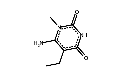 CCc1c(N)n(C)c(=O)[nH]c1=O